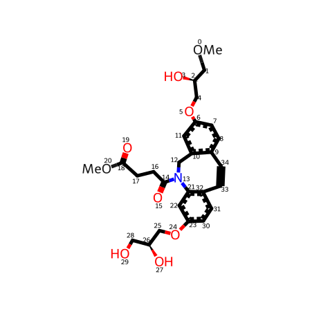 COC[C@H](O)COc1ccc2c(c1)CN(C(=O)CCC(=O)OC)c1cc(OC[C@@H](O)CO)ccc1C#C2